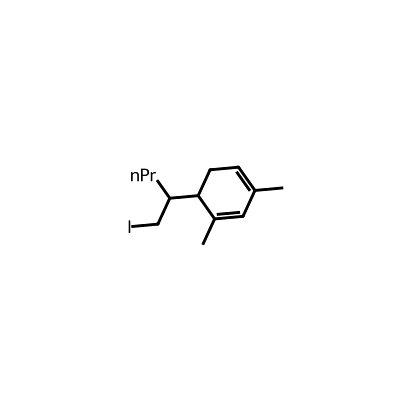 CCCC(CI)C1CC=C(C)C=C1C